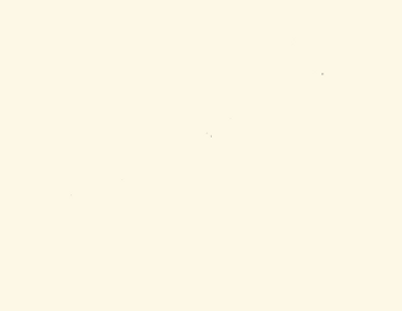 COc1c(Cl)cc(C(=O)Nc2ccc(C(=O)O)cc2)cc1OC1CCC1